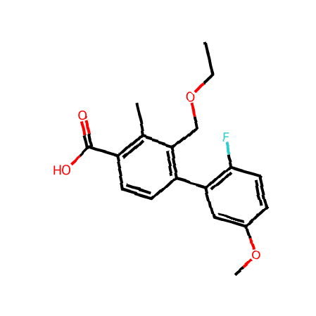 CCOCc1c(-c2cc(OC)ccc2F)ccc(C(=O)O)c1C